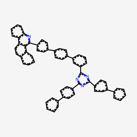 c1ccc(-c2ccc(-c3nc(-c4ccc(-c5ccccc5)cc4)nc(-c4cccc(-c5ccc(-c6ccc(-c7nc8ccccc8c8ccc9ccccc9c78)cc6)cc5)c4)n3)cc2)cc1